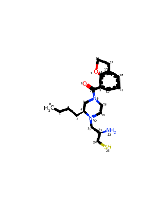 CCCC[C@H]1CN(C(=O)c2cccc3c2OCC3)CCN1C[C@@H](N)CS